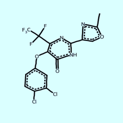 Cc1nc(-c2nc(C(F)(F)C(F)(F)F)c(Oc3ccc(Cl)c(Cl)c3)c(=O)[nH]2)co1